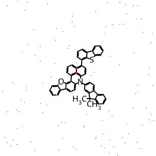 CC1(C)c2ccccc2-c2ccc(N(c3ccc(-c4cccc5c4sc4ccccc45)cc3)c3ccc4c(oc5ccccc54)c3-c3ccccc3)cc21